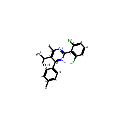 CCCC(C(=O)O)c1c(C)nc(-c2c(F)cccc2F)nc1-c1ccc(C)cc1